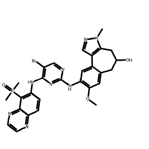 COc1cc2c(cc1Nc1ncc(Br)c(Nc3ccc4nccnc4c3P(C)(C)=O)n1)-c1cnn(C)c1CC(O)C2